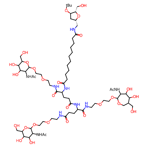 CC(=O)NC1C(OCCOCCNC(=O)C(CCC(=O)NCCOCCOC2OC(CO)C(O)C(O)C2NC(C)=O)NC(=O)CCC(NC(=O)CCCCCCCCCCC(=O)NC[C@@H]2C[C@@H](OC(C)(C)C)[C@H](CO)O2)C(=O)NCCOCCOC2OC(CO)C(O)C(O)C2NC(C)=O)OCC(CO)C(O)C1O